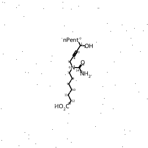 CCCCCC(O)C#CCN(CCCCCCC(=O)O)C(N)=O